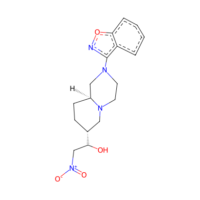 O=[N+]([O-])CC(O)[C@@H]1CC[C@H]2CN(c3noc4ccccc34)CCN2C1